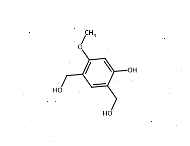 COc1cc(O)c(CO)cc1CO